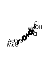 COCC(COc1ccc(C(C)(C)c2cc(Cl)c(OCC(O)CCl)c(Cl)c2)cc1)OC(C)=O